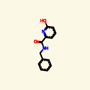 O=C(NCc1ccccc1)c1cccc(O)n1